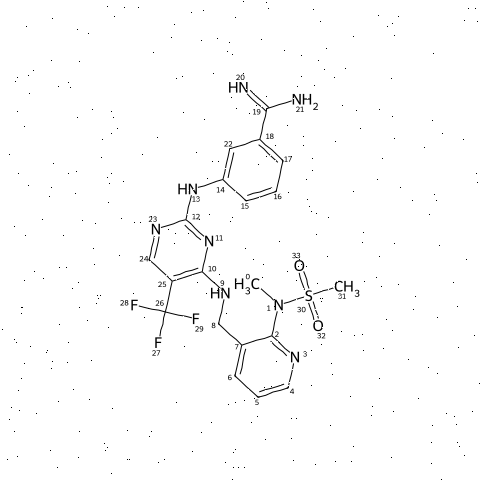 CN(c1ncccc1CNc1nc(Nc2cccc(C(=N)N)c2)ncc1C(F)(F)F)S(C)(=O)=O